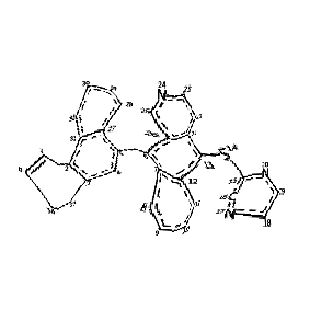 C1=Cc2c(cc(-c3c4ccccc4c(Sc4cnccn4)c4ccncc34)c3ccccc23)CC1